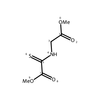 COC(=O)CNC(=S)C(=O)OC